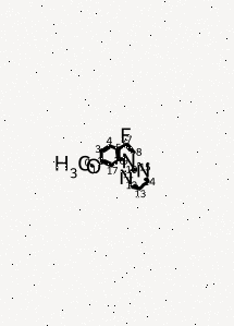 COc1ccc2c(F)cn(-c3ncccn3)c2c1